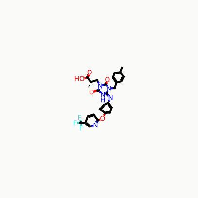 Cc1ccc(Cn2c(=O)n(C[C@H](C)C(=O)O)c(=O)[nH]/c2=N\c2ccc(Oc3ccc(C(F)(F)F)cn3)cc2)cc1